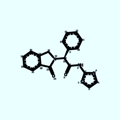 O=C(Nc1nccs1)[C@H](c1ccccc1)N1Cc2ccccc2C1=O